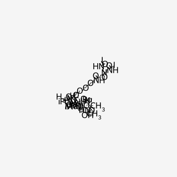 CCC(C)[C@@H]([C@@H](CC(=O)N1CCCC1[C@H](OC)[C@@H](C)C(=O)N[C@@H](C)[C@H](O)c1ccccc1)OC)N(C)C(=O)[C@@H](NC(=O)C(C(C)C)N(C)C(=O)COCCOCCOCCOCCNC(=O)CCC(=O)N(CCNC(=O)CI)CCNC(=O)CI)C(C)C